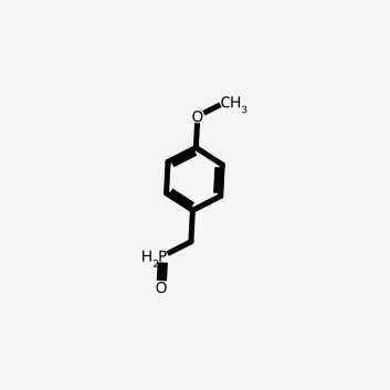 COc1ccc(C[PH2]=O)cc1